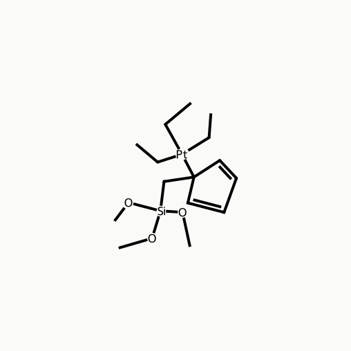 C[CH2][Pt]([CH2]C)([CH2]C)[C]1(C[Si](OC)(OC)OC)C=CC=C1